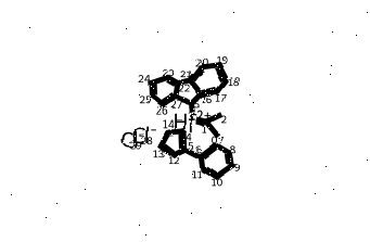 C[C](C)=[Hf+2]([C]1=C(c2ccccc2)C=CC1)[CH]1c2ccccc2-c2ccccc21.[Cl-].[Cl-]